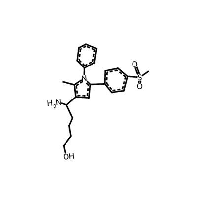 Cc1c(C(N)CCCCO)cc(-c2ccc(S(C)(=O)=O)cc2)n1-c1ccccc1